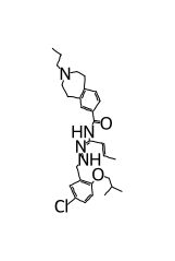 C/C=C/C(=N\NCc1cc(Cl)ccc1OCC(C)C)NC(=O)c1ccc2c(c1)CCN(CCC)CC2